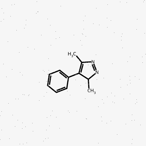 CC1=C(c2c[c]ccc2)C(C)N=N1